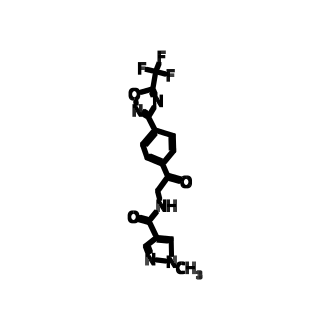 Cn1cc(C(=O)NCC(=O)c2ccc(-c3noc(C(F)(F)F)n3)cc2)cn1